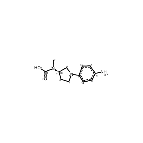 CN(C(=O)O)[C@@H]1CCN(c2ccc(N)cc2)C1